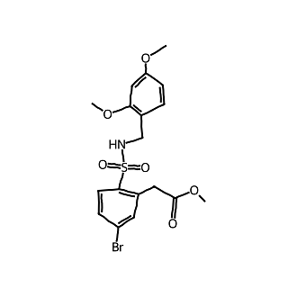 COC(=O)Cc1cc(Br)ccc1S(=O)(=O)NCc1ccc(OC)cc1OC